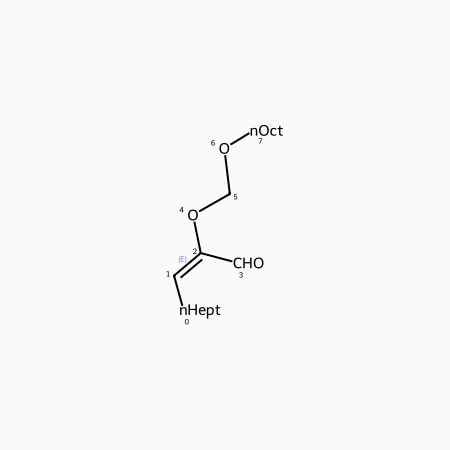 CCCCCCC/C=C(\C=O)OCOCCCCCCCC